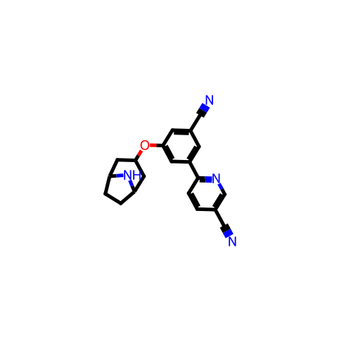 N#Cc1ccc(-c2cc(C#N)cc(OC3CC4CCC(C3)N4)c2)nc1